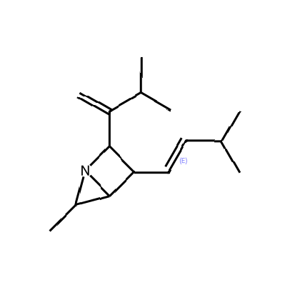 C=C(C(C)C)C1C(/C=C/C(C)C)C2C(C)N12